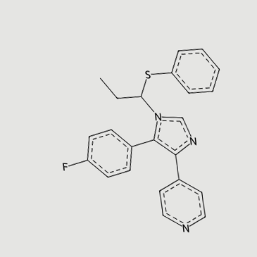 CCC(Sc1ccccc1)n1cnc(-c2ccncc2)c1-c1ccc(F)cc1